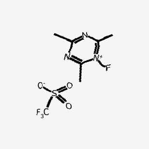 Cc1nc(C)[n+](F)c(C)n1.O=S(=O)([O-])C(F)(F)F